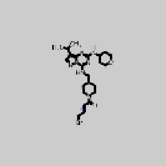 CC(C)c1cnn2c(NCC3CCN(C(=O)/C=C/CBr)CC3)nc(NC3CCOCC3)nc12